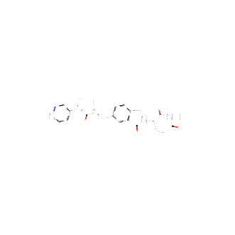 O=C1CCC(N2Cc3ccc(CNC(=O)Nc4ccncc4)cc3C2=O)C(=O)N1